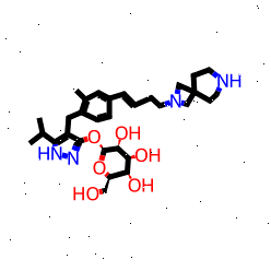 Cc1cc(/C=C/CCN2CC3(CCNCC3)C2)ccc1Cc1c(O[C@H]2O[C@H](CO)[C@@H](O)[C@H](O)[C@H]2O)n[nH]c1C(C)C